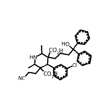 CC1NC(C)C(CCCC(O)(c2ccccc2)c2ccccc2)(C(=O)O)C(c2cccc(Cl)c2)C1(CCC#N)C(=O)O